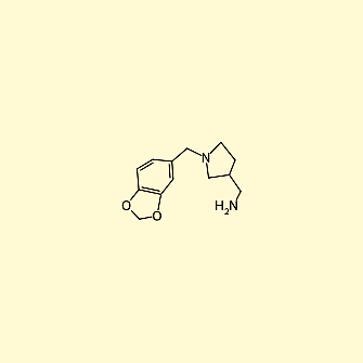 NCC1CCN(Cc2ccc3c(c2)OCO3)C1